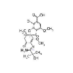 COC1=C(/N=C(\N)C(C)(C)O)C(=O)C[C@@H](C)[C@]12Oc1c(Cl)c(C(=O)O)cc(OC)c1C2=O